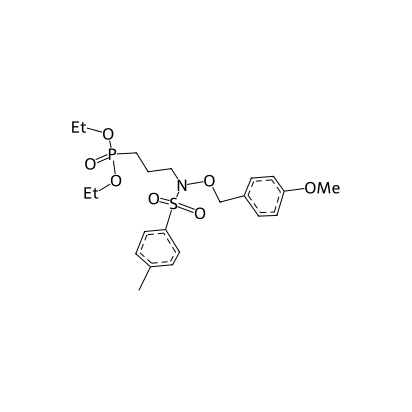 CCOP(=O)(CCCN(OCc1ccc(OC)cc1)S(=O)(=O)c1ccc(C)cc1)OCC